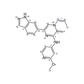 C=C1C(Nc2ccnc(OC)c2)=NC(c2ccc3cn[nH]c3c2)=CN1/C=C\C